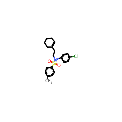 O=S(=O)(c1ccc(C(F)(F)F)cc1)N(CCC1=CCCCC1)c1ccc(Cl)cc1